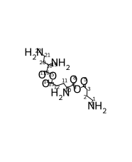 NCCCC(=O)OC(=O)[C@@H](N)CCC(=O)OC(=O)C(N)CCN